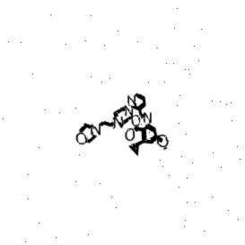 COc1cc(C2CC2)c2c(=O)oc(-c3cccnc3N3CCN(CCN4CCOCC4)CC3)nc2c1